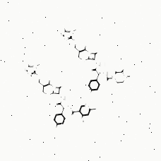 CCN1CCN(C(=O)N[C@@H](C(=O)N[C@@H]2C(=O)N3C(C(=O)O)=C(CSc4nnnn4C)CS[C@H]23)c2ccc(O)cc2)C(=O)C1=O.Cc1cc(O)c(C(=O)N[C@@H](C(=O)N[C@@H]2C(=O)N3C(C(=O)O)=C(CSc4nnnn4C)CS[C@H]23)c2ccc(O)cc2)cn1